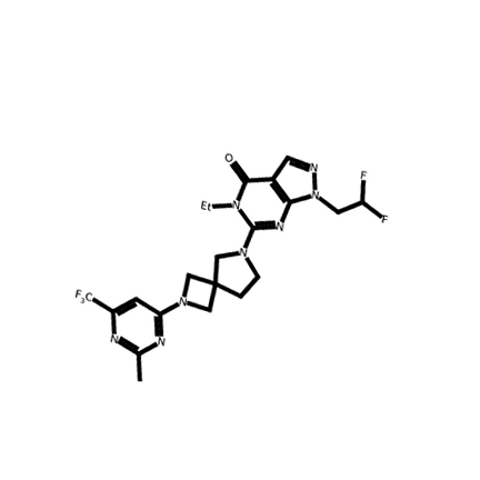 CCn1c(N2CCC3(CN(c4cc(C(F)(F)F)nc(C)n4)C3)C2)nc2c(cnn2CC(F)F)c1=O